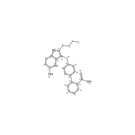 CCCCc1nc2ccc(O)nc2n1Cc1ccc(-c2ccccc2C(=O)O)cc1